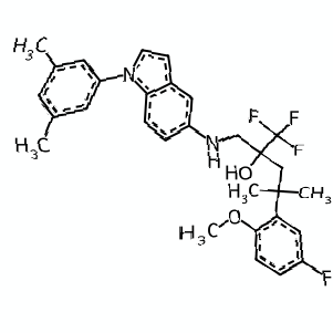 COc1ccc(F)cc1C(C)(C)CC(O)(CNc1ccc2c(ccn2-c2cc(C)cc(C)c2)c1)C(F)(F)F